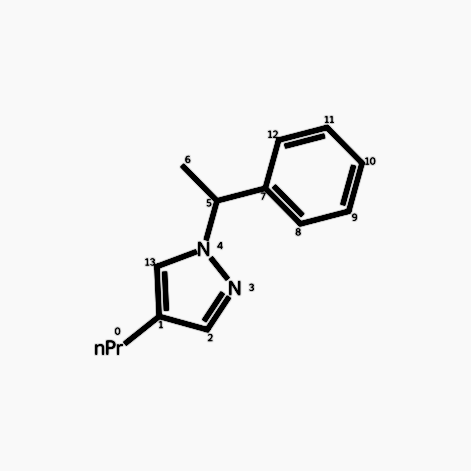 CCCc1cnn(C(C)c2ccccc2)c1